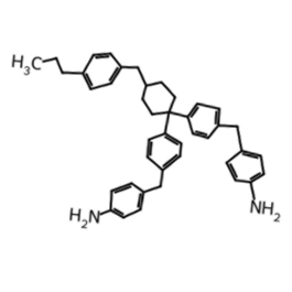 CCCc1ccc(CC2CCC(c3ccc(Cc4ccc(N)cc4)cc3)(c3ccc(Cc4ccc(N)cc4)cc3)CC2)cc1